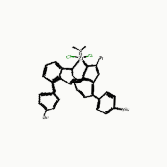 CCC(C)c1ccc(-c2cccc3c2C=C(C)[CH]3[Zr]([Cl])([Cl])([CH]2C(C(C)C)=Cc3c(-c4ccc(C(C)(C)C)cc4)cccc32)[SiH](C)C)cc1